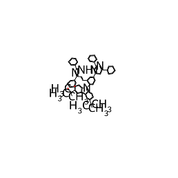 CC(C)(C)c1ccc2c(c1)c1cc(C(C)(C)C)ccc1n2-c1ccc(-c2cc(-c3ccccc3)nc(-c3ccccc3)n2)cc1/C=C/C(=N\C(=N)c1ccccc1)c1ccccc1